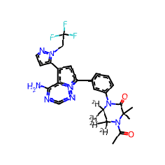 [2H]C1([2H])N(c2cccc(-c3cc(-c4ccnn4CC(F)(F)F)c4c(N)ncnn34)c2)C(=O)C(C)(C)N(C(C)=O)C1([2H])[2H]